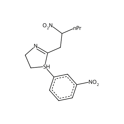 CCCC(CC1=NCC[SH]1c1cccc([N+](=O)[O-])c1)[N+](=O)[O-]